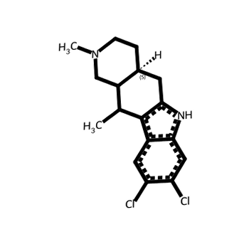 CC1c2c([nH]c3cc(Cl)c(Cl)cc23)C[C@@H]2CCN(C)CC12